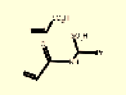 C=CC(=O)NC(C(C)C)S(=O)(=O)O.C=CS(=O)(=O)O